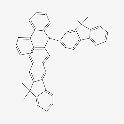 CC1(C)c2ccccc2-c2ccc(N(c3ccc4cc5c(cc4c3)-c3ccccc3C5(C)C)c3ccccc3-c3ccccc3)cc21